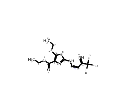 CCOC(=O)c1nc(N/C=C\C(=N)C(F)(F)F)sc1SCC